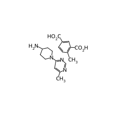 Cc1cc(N2CCC(N)CC2)ncn1.Cc1ccc(C(=O)O)cc1C(=O)O